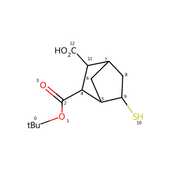 CC(C)(C)OC(=O)C1C2CC(CC2S)C1C(=O)O